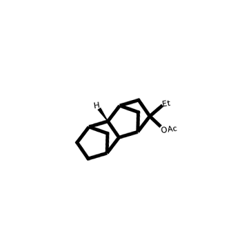 CCC1(OC(C)=O)CC2CC1C1C3CCC(C3)[C@H]21